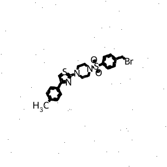 Cc1ccc(-c2csc(N3CCN(S(=O)(=O)c4ccc(CBr)cc4)CC3)n2)cc1